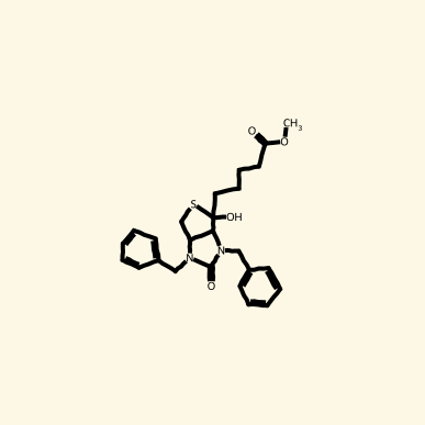 COC(=O)CCCCC1(O)SCC2C1N(Cc1ccccc1)C(=O)N2Cc1ccccc1